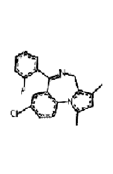 Cc1cc(C)n2c1CN=C(c1ccccc1F)c1cc(Cl)ccc1-2